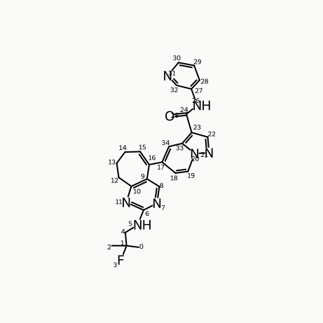 CC(C)(F)CNc1ncc2c(n1)CCCC=C2c1ccn2ncc(C(=O)Nc3cccnc3)c2c1